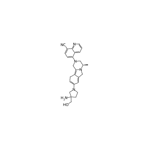 C[C@@H]1CN(c2ccc(C#N)c3ncccc23)CC2=C3CC=C(N4CCC(N)(CO)C4)C=C3CN21